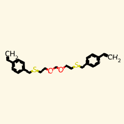 C=Cc1ccc(CSCCOCOCCSCc2ccc(C=C)cc2)cc1